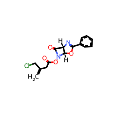 C=C(CCl)CC(=O)ON1C(=O)[C@@H]2N=C(c3ccccc3)O[C@@H]21